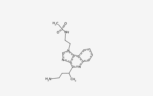 CC(CCN)c1nc2ccccc2c2c1ncn2CCNS(C)(=O)=O